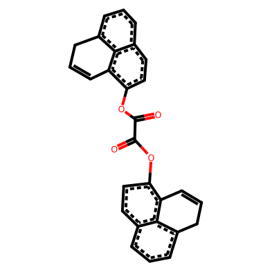 O=C(Oc1ccc2cccc3c2c1C=CC3)C(=O)Oc1ccc2cccc3c2c1C=CC3